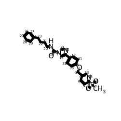 CS(=O)(=O)c1ccc(COc2ccc(-c3cn(C(=O)NCCCCc4ccccc4)cn3)cc2)cn1